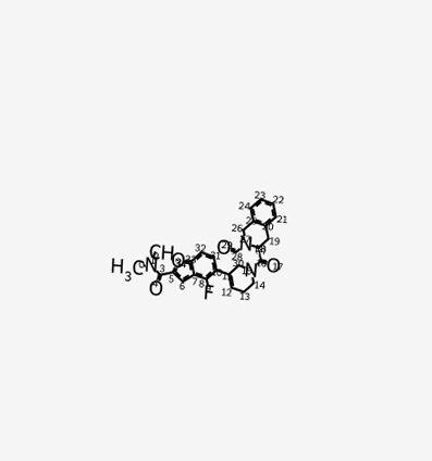 CN(C)C(=O)c1cc2c(F)c(C3=CCCN(C(=O)[C@@H]4Cc5ccccc5CN4C=O)C3)ccc2o1